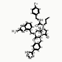 CCCN(C(=O)NCc1ccc(F)cc1)N1CC(=O)N2[C@@H](Cc3ccc(-c4nnn[nH]4)cc3)C(=O)N(Cc3cccc4sc(N)nc34)C[C@@H]21